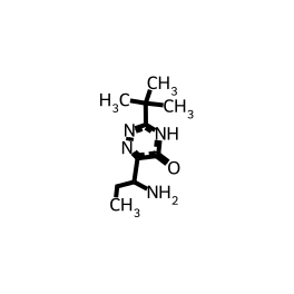 CCC(N)c1nnc(C(C)(C)C)[nH]c1=O